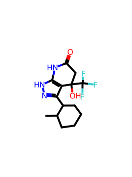 CC1CCCCC1c1n[nH]c2c1C(O)(C(F)(F)F)CC(=O)N2